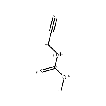 C#CCNC(=S)OC